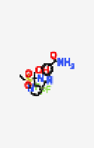 CCS(=O)(=O)C(CO)(c1ccccn1)n1c(C(F)(F)F)nc2cc(C(N)=O)ccc21